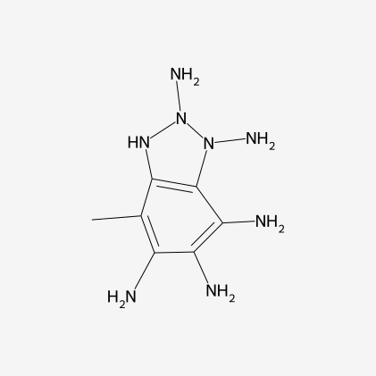 Cc1c(N)c(N)c(N)c2c1NN(N)N2N